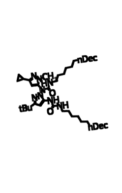 CCCCCCCCCCCCCCCCNC(=O)Nc1cc(C(C)(C)C)nn1N(C(=O)NCCCCCCCCCCCCCCCC)c1cc(C2CC2)nn1C